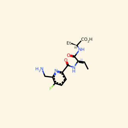 C/C=C(\NC(=O)c1ccc(F)c(CN)n1)C(=O)N[C@@H](CC)C(=O)O